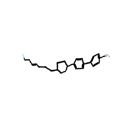 Cc1ccc(-c2ccc(C3CCC(CCC/C=C/CCF)CC3)cc2)cc1